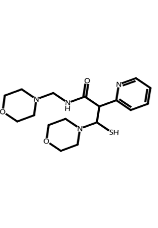 O=C(NCN1CCOCC1)C(c1ccccn1)C(S)N1CCOCC1